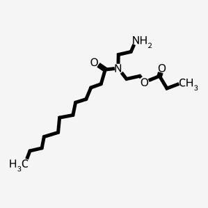 CCCCCCCCCCCC(=O)N(CCN)CCOC(=O)CC